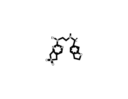 CCN(CCN(C)[C@@H](C)c1ccc2c(c1)OCC2)c1ncc2c(n1)CS(=O)(=O)C2